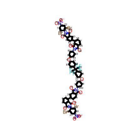 O=C1c2ccc(-c3cccc4c3C(=O)N(c3c(Br)cc([N+](=O)[O-])cc3Br)C4=O)cc2C(=O)N1c1ccc(Oc2ccc(C(c3ccc(Oc4ccc(N5C(=O)c6cccc(-c7ccc8c(c7)C(=O)N(c7c(Br)cc([N+](=O)[O-])cc7Br)C8=O)c6C5=O)cc4)cc3)(C(F)(F)F)C(F)(F)F)cc2)cc1